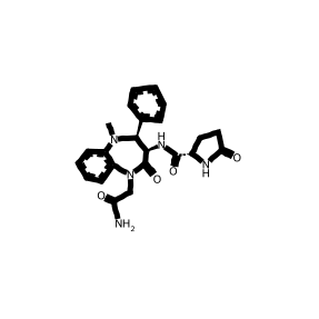 CN1c2ccccc2N(CC(N)=O)C(=O)[C@H](NC(=O)[C@@H]2CCC(=O)N2)[C@@H]1c1ccccc1